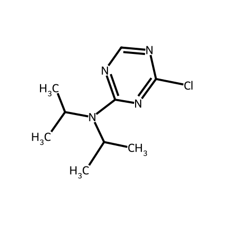 CC(C)N(c1ncnc(Cl)n1)C(C)C